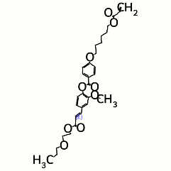 C=CC(=O)OCCCCCCOc1ccc(C(=O)Oc2ccc(/C=C/C(=O)OCCOCCC)cc2OC)cc1